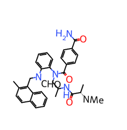 CN[C@@H](C)C(=O)NC(C)CN(C(=O)c1ccc(C(N)=O)cc1)c1ccccc1N(C=O)Cc1c(C)ccc2ccccc12